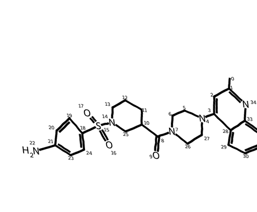 Cc1cc(N2CCN(C(=O)C3CCCN(S(=O)(=O)c4ccc(N)cc4)C3)CC2)c2ccccc2n1